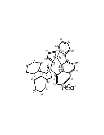 Cl.Cl.[CH2]=[Zr]([CH2]C1CCCCC1)([CH2]C1CCCCC1)([C]1=CC=CC1)[c]1cccc2ccc3c(c12)Cc1ccccc1-3